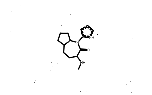 CNC1CCC2CCCC2N(c2ccc[nH]2)C1=O